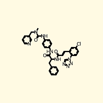 CN(Cc1cccnc1)C(=O)Nc1ccc(NC(=O)C(Cc2ccccc2)NC(=O)C=Cc2cc(Cl)ccc2-n2cnnn2)cc1